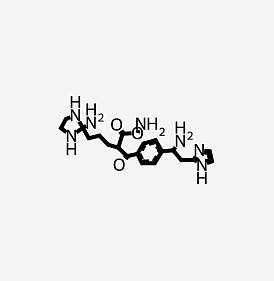 NOC(=O)C(CCCC1(N)NCCN1)C(=O)c1ccc(C(N)Cc2ncc[nH]2)cc1